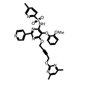 COc1ccccc1Oc1c(NS(=O)(=O)c2ccc(C)cn2)nc(-c2ccncc2)nc1OCC#CCOc1nc(C)cc(C)n1